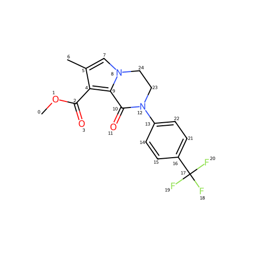 COC(=O)c1c(C)cn2c1C(=O)N(c1ccc(C(F)(F)F)cc1)CC2